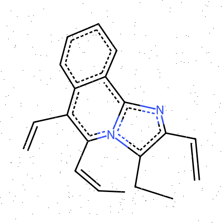 C=Cc1nc2c3ccccc3c(C=C)c(/C=C\C)n2c1CC